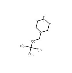 CC(C)(C)NCC1CCNCC1